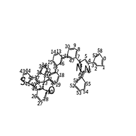 c1ccc(-c2cc(-c3cccc(-c4cccc(-c5ccc6c(c5)C5(c7ccccc7O6)c6ccccc6-c6c5ccc5sccc65)c4)c3)nc(-c3ccccc3)n2)cc1